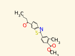 CCCC(=O)c1ccc2nc(-c3ccc(C(=O)OC)c(C)c3)sc2c1